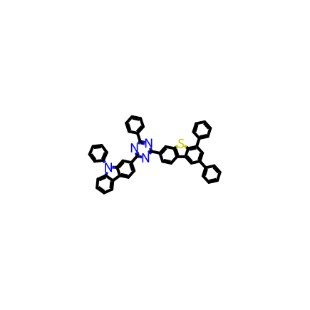 c1ccc(-c2cc(-c3ccccc3)c3sc4cc(-c5nc(-c6ccccc6)nc(-c6ccc7c8ccccc8n(-c8ccccc8)c7c6)n5)ccc4c3c2)cc1